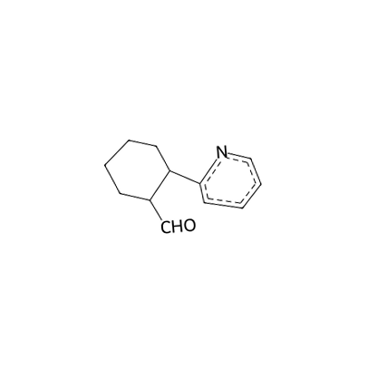 O=CC1CCCCC1c1ccccn1